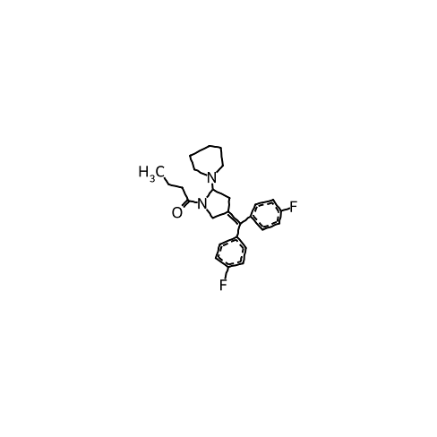 CCCC(=O)N1CC(=C(c2ccc(F)cc2)c2ccc(F)cc2)CC1N1CCCCC1